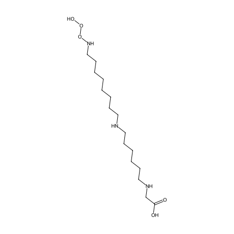 O=C(O)CNCCCCCCNCCCCCCCCNOOO